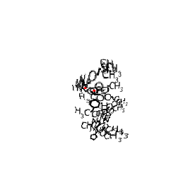 CCOP(=O)(OCC)[C@@](COCCOC)(COCc1nnnn1COCC[Si](C)(C)C)OC1(C)CCC(C(C)C)C([C@H]2O[C@@H](n3ncc4c(N(C(=O)OC(C)(C)C)C5CCCC5)nc(Cl)nc43)[C@@H]3OC(C)(C)O[C@@H]32)C1